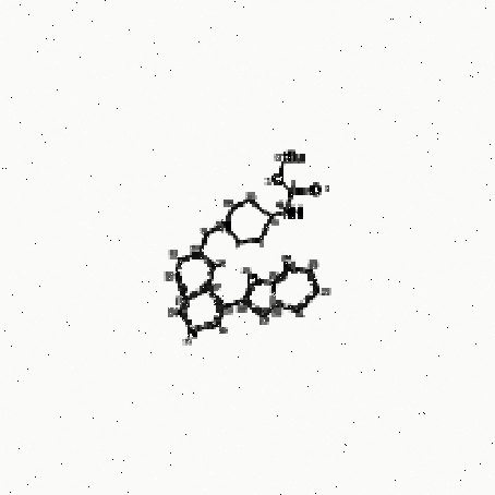 CC(C)(C)OC(=O)NC1CCN(Cc2ccc3cncc(-c4cc5cccnc5o4)c3c2)CC1